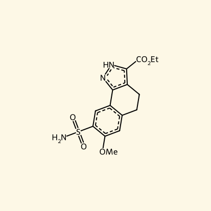 CCOC(=O)c1[nH]nc2c1CCc1cc(OC)c(S(N)(=O)=O)cc1-2